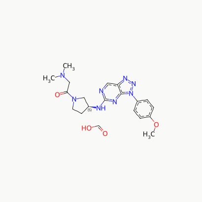 COc1ccc(-n2nnc3cnc(N[C@H]4CCN(C(=O)CN(C)C)C4)nc32)cc1.O=CO